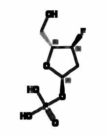 O=P(O)(O)O[C@@H]1C[C@H](F)[C@@H](CO)O1